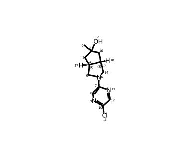 CC1(O)C[C@H]2CN(c3cnc(Cl)cn3)C[C@H]2C1